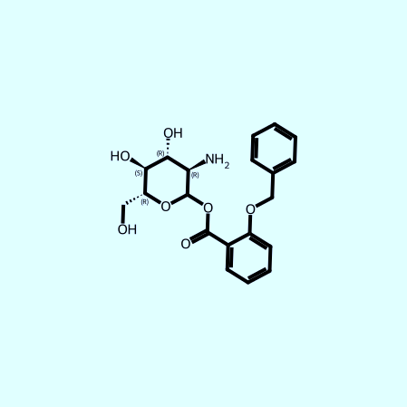 N[C@H]1C(OC(=O)c2ccccc2OCc2ccccc2)O[C@H](CO)[C@@H](O)[C@@H]1O